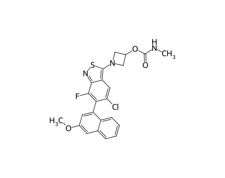 CNC(=O)OC1CN(c2snc3c(F)c(-c4cc(OC)cc5ccccc45)c(Cl)cc23)C1